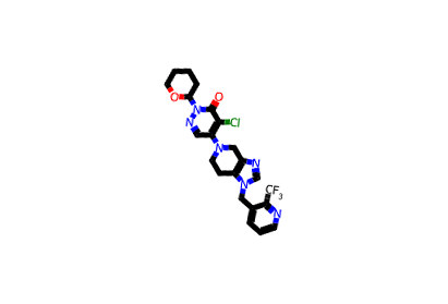 O=c1c(Cl)c(N2CCc3c(ncn3Cc3cccnc3C(F)(F)F)C2)cnn1C1CCCCO1